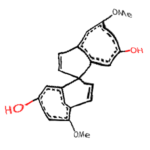 COc1cc2c(cc1O)C1(C=C2)C=Cc2c(OC)cc(O)cc21